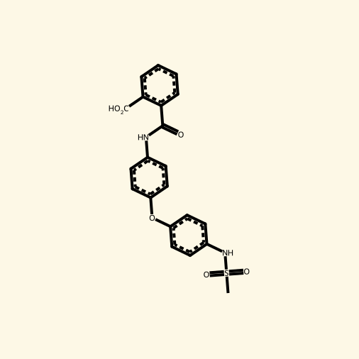 CS(=O)(=O)Nc1ccc(Oc2ccc(NC(=O)c3ccccc3C(=O)O)cc2)cc1